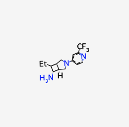 CCC1C2CN(c3ccnc(C(F)(F)F)c3)C[C@H]2[C@@H]1N